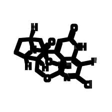 CC(C)(C)OC(=O)N1[C@@H]2CC[C@H]1[C@H]1COc3nc(Cl)c(F)c4[nH]c(=O)cc(c34)N1C2